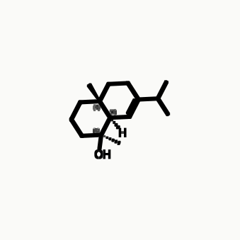 CC(C)C1=C[C@@H]2[C@](C)(CCC[C@]2(C)O)CC1